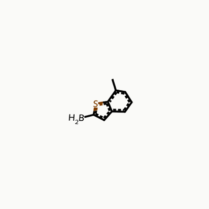 Bc1cc2cccc(C)c2s1